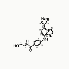 O=C(NCCO)c1ccc(Nc2ncc(-c3cn[nH]c3)n3ccnc23)cc1